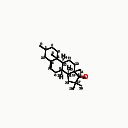 C[C@H]1CC[C@@]2(C)C(=CC[C@@H]3[C@@H]2CC[C@]2(C)C(=O)C(C)(C)C[C@@H]32)C1